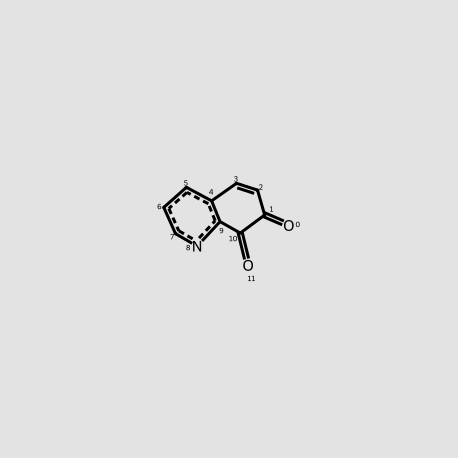 O=C1C=Cc2cccnc2C1=O